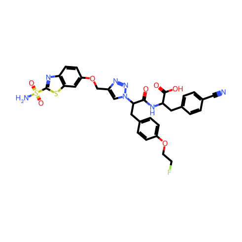 N#Cc1ccc(CC(NC(=O)C(Cc2ccc(OCCF)cc2)n2cc(COc3ccc4nc(S(N)(=O)=O)sc4c3)nn2)C(=O)O)cc1